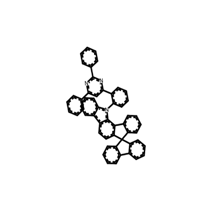 c1ccc(-c2cc(-c3ccccc3-n3c4ccccc4c4ccc5c(c43)-c3ccccc3C53c4ccccc4-c4ccccc43)nc(-c3ccccc3)n2)cc1